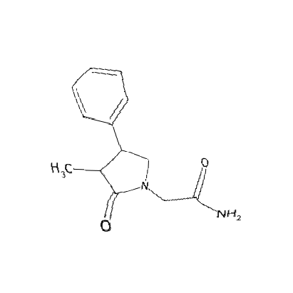 CC1C(=O)N(CC(N)=O)CC1c1ccccc1